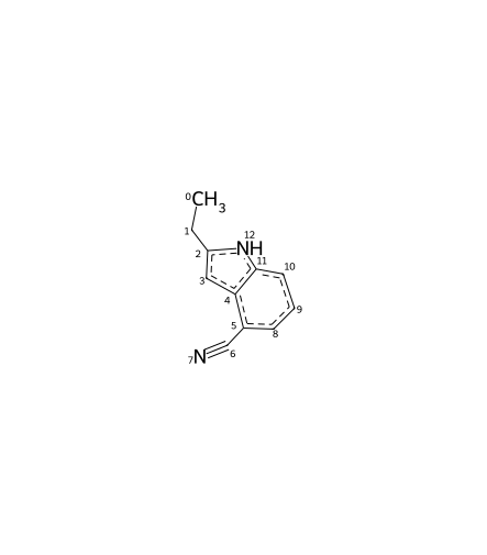 CCc1cc2c(C#N)cccc2[nH]1